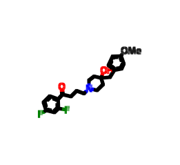 COc1ccc(CC2(O)CCN(CCCC(=O)c3ccc(F)cc3F)CC2)cc1